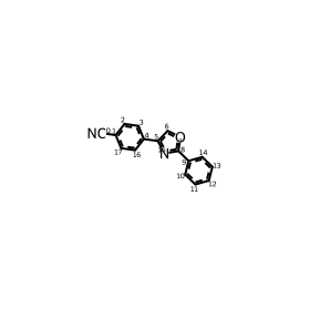 N#Cc1ccc(-c2coc(-c3ccccc3)n2)cc1